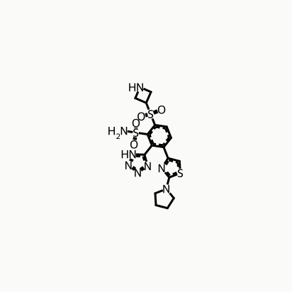 NS(=O)(=O)c1c(S(=O)(=O)C2CNC2)ccc(-c2csc(N3CCCC3)n2)c1-c1nnn[nH]1